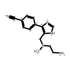 CN(CCN)Cc1[nH]cnc1-c1ccc(C#N)cc1